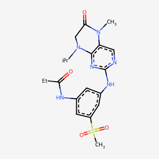 CCC(=O)Nc1cc(Nc2ncc3c(n2)N(C(C)C)CC(=O)N3C)cc(S(C)(=O)=O)c1